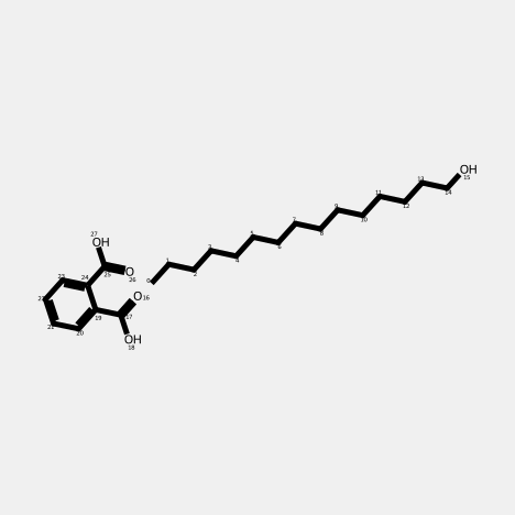 CCCCCCCCCCCCCCCO.O=C(O)c1ccccc1C(=O)O